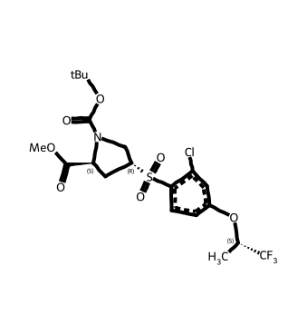 COC(=O)[C@@H]1C[C@@H](S(=O)(=O)c2ccc(O[C@@H](C)C(F)(F)F)cc2Cl)CN1C(=O)OC(C)(C)C